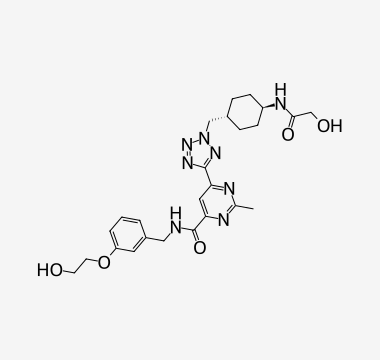 Cc1nc(C(=O)NCc2cccc(OCCO)c2)cc(-c2nnn(C[C@H]3CC[C@H](NC(=O)CO)CC3)n2)n1